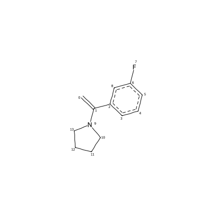 C=C(c1cccc(F)c1)N1CCCC1